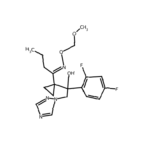 CCCC(=NOCOC)C1(C(O)(Cn2cncn2)c2ccc(F)cc2F)CC1